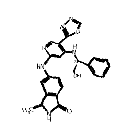 CC1NC(=O)c2ccc(Nc3cc(N[C@H](CO)c4ccccc4)c(-c4nnco4)cn3)cc21